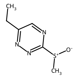 CCc1cnc([S+](C)[O-])nn1